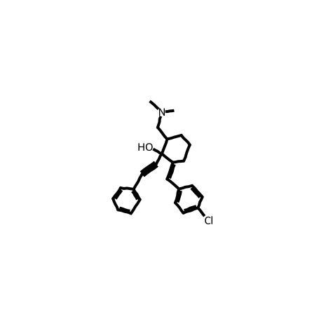 CN(C)CC1CCCC(=Cc2ccc(Cl)cc2)C1(O)C#Cc1ccccc1